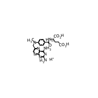 CN(Cc1cnc2nc(N)nc(N)c2n1)c1ccc(C(=O)N[C@@H](CCC(=O)O)C(=O)O)cc1.[H+]